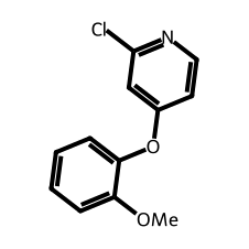 COc1ccccc1Oc1ccnc(Cl)c1